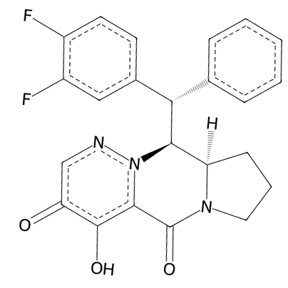 O=C1c2c(O)c(=O)cnn2[C@@H]([C@@H](c2ccccc2)c2ccc(F)c(F)c2)[C@H]2CCCN12